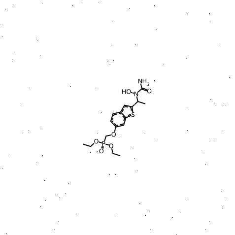 CCOP(=O)(COc1ccc2cc(C(C)N(O)C(N)=O)sc2c1)OCC